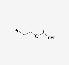 CCCC(C)OCCC(C)C